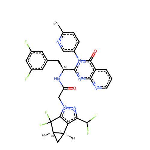 CC(C)c1ccc(-n2c([C@H](Cc3cc(F)cc(F)c3)NC(=O)Cn3nc(C(F)F)c4c3C(F)(F)[C@@H]3C[C@H]43)nc3ncccc3c2=O)cn1